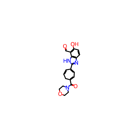 O=Cc1c(O)ccc2nc(C3=CC=C(C(=O)N4CCOCC4)CC=C3)[nH]c12